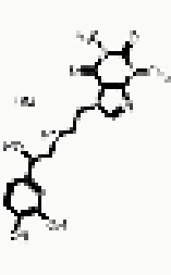 Cl.Cn1c(=O)c2c(ncn2CCNCC(O)c2ccc(O)c(O)c2)n(C)c1=O